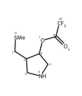 CSCC1CNCC1OC(=O)C(F)(F)F